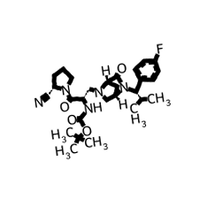 CC(C)[C@@H](c1ccc(F)cc1)N1C(=O)[C@@H]2C[C@H]1CN2C[C@H](NC(=O)OC(C)(C)C)C(=O)N1CCC[C@H]1C#N